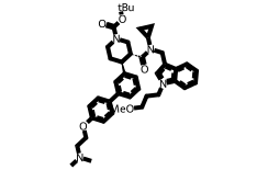 COCCCn1cc(CN(C(=O)[C@H]2CN(C(=O)OC(C)(C)C)CC[C@@H]2c2cccc(-c3ccc(OCCN(C)C)cc3)c2)C2CC2)c2ccccc21